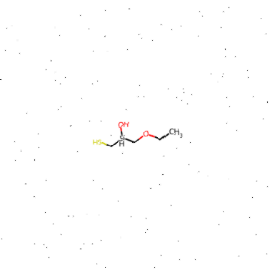 CCOC[SiH](O)CS